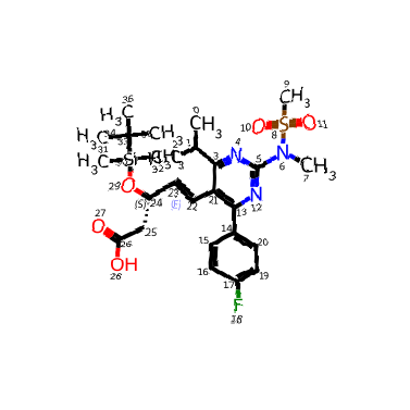 CC(C)c1nc(N(C)S(C)(=O)=O)nc(-c2ccc(F)cc2)c1/C=C/[C@H](CC(=O)O)O[Si](C)(C)C(C)(C)C